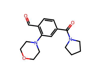 O=Cc1ccc(C(=O)N2CCCC2)cc1N1CCOCC1